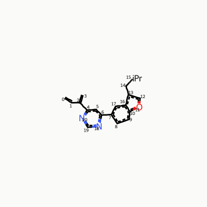 C=CC(=C)c1cc(-c2ccc3occ(CC(C)C)c3c2)ncn1